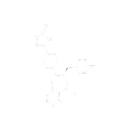 CN1C[C@H](Cc2ccc(Cl)cc2)N(C2CCN(c3nnc(N)[nH]3)CC2)Cc2ccccc21